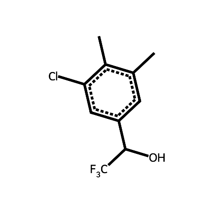 Cc1cc(C(O)C(F)(F)F)cc(Cl)c1C